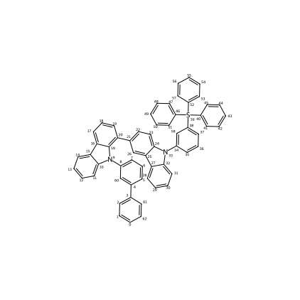 c1ccc(-c2cccc(-n3c4ccccc4c4cccc(-c5ccc6c(c5)c5ccccc5n6-c5cccc(S(c6ccccc6)(c6ccccc6)c6ccccc6)c5)c43)c2)cc1